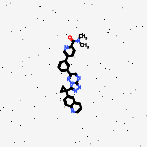 CN(C)C(=O)c1ccc(-c2cccc(-c3cnc4nnc(C5(c6ccc7ncccc7c6)CC5)n4n3)c2)cn1